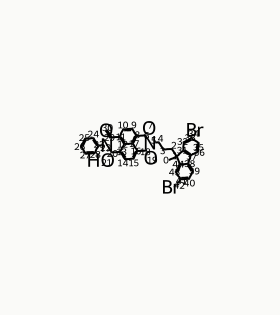 CC1(CCCN2C(=O)c3ccc4c5c(ccc(c35)C2=O)C(O)N(c2ccccc2)C4=O)c2cc(Br)ccc2-c2ccc(Br)cc21